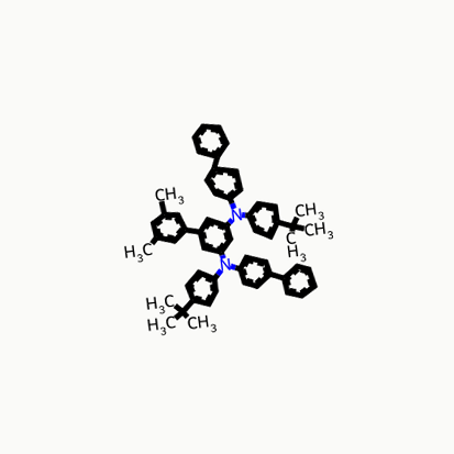 Cc1cc(C)cc(-c2cc(N(c3ccc(-c4ccccc4)cc3)c3ccc(C(C)(C)C)cc3)cc(N(c3ccc(-c4ccccc4)cc3)c3ccc(C(C)(C)C)cc3)c2)c1